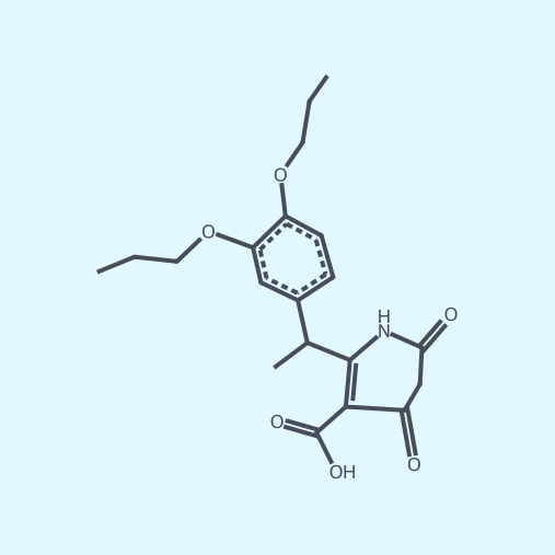 CCCOc1ccc(C(C)C2=C(C(=O)O)C(=O)CC(=O)N2)cc1OCCC